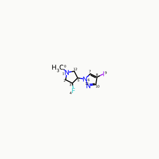 CN1CC(F)C(n2cc(I)cn2)C1